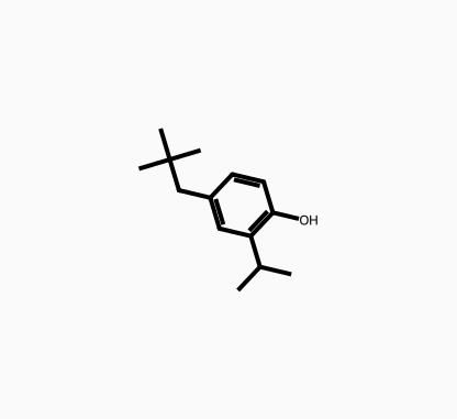 CC(C)c1cc(CC(C)(C)C)ccc1O